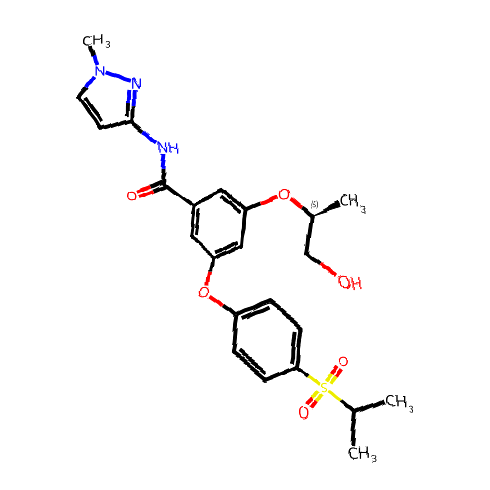 CC(C)S(=O)(=O)c1ccc(Oc2cc(O[C@@H](C)CO)cc(C(=O)Nc3ccn(C)n3)c2)cc1